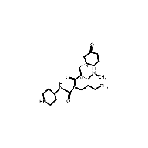 CCCCN(C(=O)NC1CCNCC1)C(=O)[C@@H](CNC)C[C@H]1CCCC(=O)C1